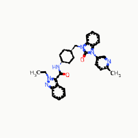 CCn1nc2ccccc2c1C(=O)N[C@H]1CC[C@H](Cn2c(=O)n(-c3ccc(C)nc3)c3ccccc32)CC1